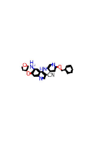 N#Cc1cnc2cc(OC3CCOC3)c(N)cc2c1Nc1ccc(OCc2ccccc2)nc1